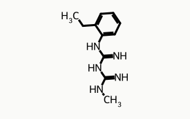 CCc1ccccc1NC(=N)NC(=N)NC